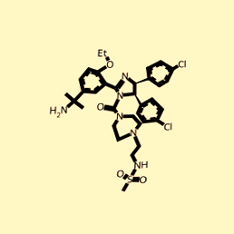 CCOc1ccc(C(C)(C)N)cc1C1=N[C@@H](c2ccc(Cl)cc2)[C@@H](c2ccc(Cl)cc2)N1C(=O)N1CCN(CCNS(C)(=O)=O)CC1